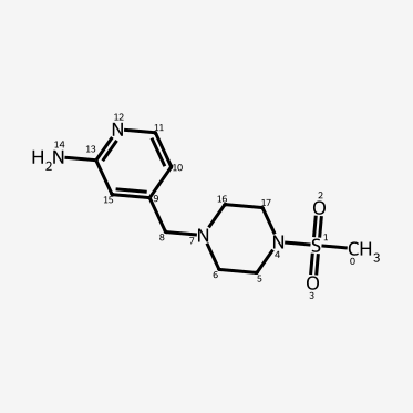 CS(=O)(=O)N1CCN(Cc2ccnc(N)c2)CC1